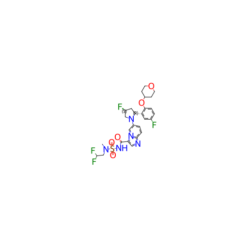 CN(CC(F)F)S(=O)(=O)NC(=O)c1cnc2ccc(N3C[C@@H](F)C[C@@H]3c3cc(F)ccc3OC3CCOCC3)cn12